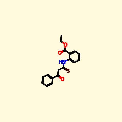 CCOC(=O)c1ccccc1NC(=S)CC(=O)c1ccccc1